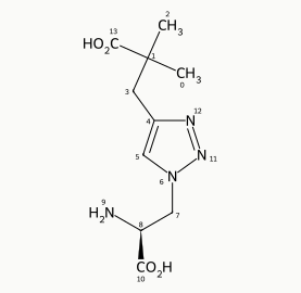 CC(C)(Cc1cn(C[C@H](N)C(=O)O)nn1)C(=O)O